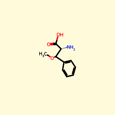 COC(c1ccccc1)[C@@H](N)C(=O)O